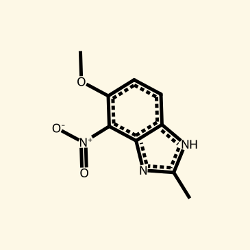 COc1ccc2[nH]c(C)nc2c1[N+](=O)[O-]